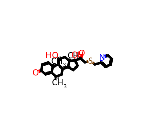 C[C@H]1CC2C([C@@H](O)CC3(C)C2CC[C@]3(O)C(=O)CSCc2ccccn2)C2(C)C=CC(=O)C=C12